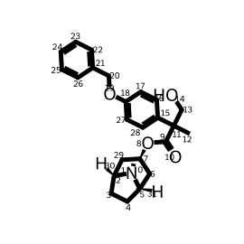 CN1[C@@H]2CC[C@H]1C[C@H](OC(=O)C(C)(CO)c1ccc(OCc3ccccc3)cc1)C2